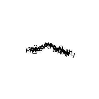 Cc1cc(-c2ccc(CN3CC[C@H](N4CCN(c5cc6c(cc5F)C(=O)N(C5CCC(=O)NC5=O)C6=O)CC4)C[C@@H]3C)cc2)ccc1-n1cc(C(=O)NCc2nc(C(C)(C)C(F)(F)F)n[nH]2)cn1